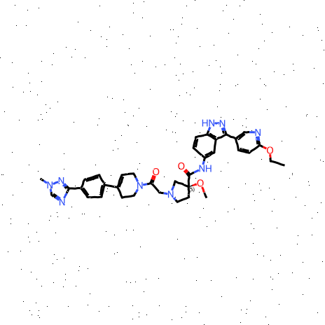 CCOc1ccc(-c2n[nH]c3ccc(NC(=O)[C@]4(OC)CCN(CC(=O)N5CC=C(c6ccc(-c7ncn(C)n7)cc6)CC5)C4)cc23)cn1